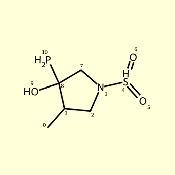 CC1CN([SH](=O)=O)CC1(O)P